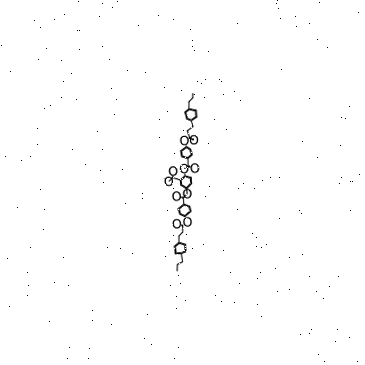 CCCc1ccc(CCC(=O)Oc2ccc(C(=O)Oc3ccc(OC(=O)c4ccc(OC(=O)CCc5ccc(CCC)cc5)cc4)c(C(=O)OC)c3)cc2)cc1